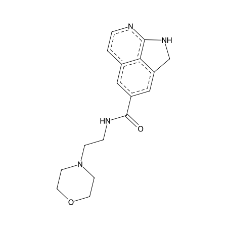 O=C(NCCN1CCOCC1)c1cc2c3c(nccc3c1)NC2